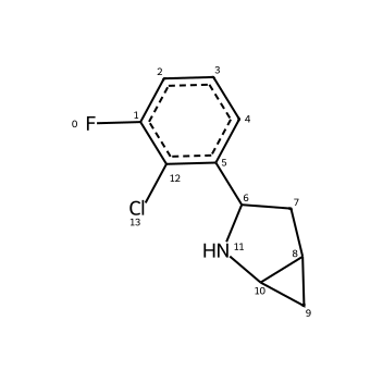 Fc1cccc(C2CC3CC3N2)c1Cl